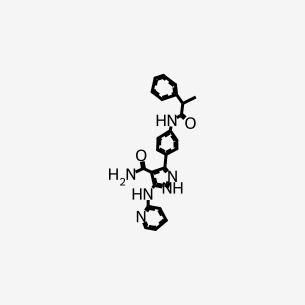 CC(C(=O)Nc1ccc(-c2n[nH]c(Nc3ccccn3)c2C(N)=O)cc1)c1ccccc1